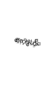 C[N+]1(Cc2ccc(NC(=O)C=Cc3ccc(Cl)c(Cl)c3)cc2)CCOCC1